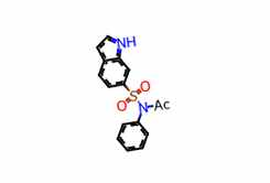 CC(=O)N(c1ccccc1)S(=O)(=O)c1ccc2cc[nH]c2c1